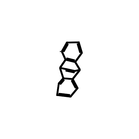 [c]1cccc2c1C1C=CC2c2ccccc21